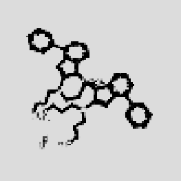 CCCCP(CCCC)C1=Cc2c(-c3ccccc3)cccc2[CH]1[Zr+2][CH]1C(P(CCCC)CCCC)=Cc2c(-c3ccccc3)cccc21.[Cl-].[Cl-]